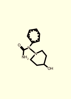 NC(=O)N(c1cc[c]cc1)N1CCC(O)CC1